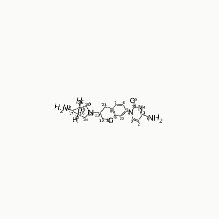 Nc1ccn(-c2ccc3c(c2)OCC(N2C[C@@H]4[C@@H](N)[C@@H]4C2)C3)c(=O)n1